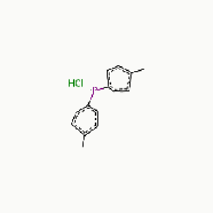 Cc1ccc([P]c2ccc(C)cc2)cc1.Cl